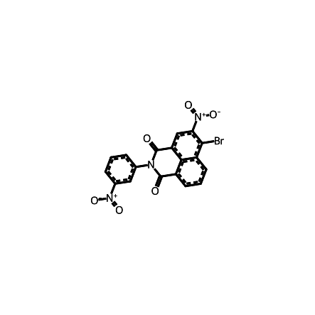 O=C1c2cccc3c(Br)c([N+](=O)[O-])cc(c23)C(=O)N1c1cccc([N+](=O)[O-])c1